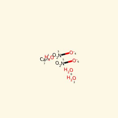 O.O.O.O=[N+]([O-])[O-].O=[N+]([O-])[O-].[Ca+2]